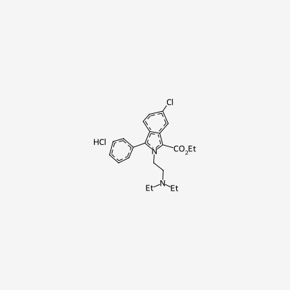 CCOC(=O)c1c2cc(Cl)ccc2c(-c2ccccc2)n1CCN(CC)CC.Cl